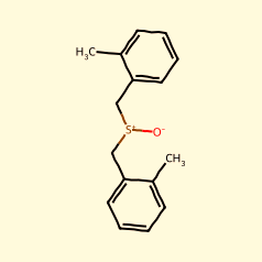 Cc1ccccc1C[S+]([O-])Cc1ccccc1C